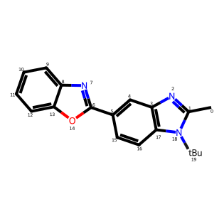 Cc1nc2cc(-c3nc4ccccc4o3)ccc2n1C(C)(C)C